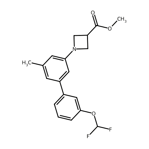 COC(=O)C1CN(c2cc(C)cc(-c3cccc(OC(F)F)c3)c2)C1